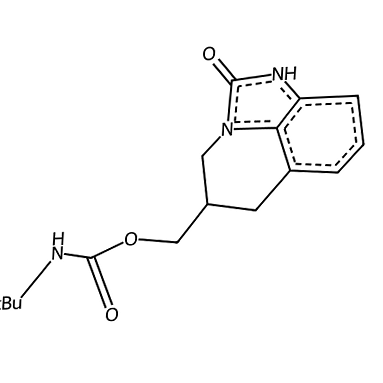 CC(C)(C)NC(=O)OCC1Cc2cccc3[nH]c(=O)n(c23)C1